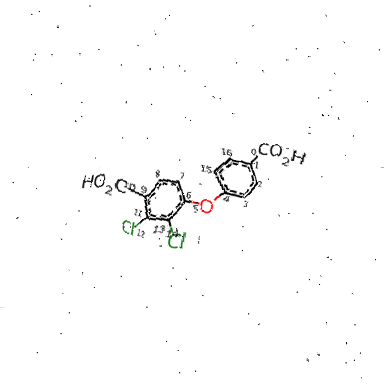 O=C(O)c1ccc(Oc2ccc(C(=O)O)c(Cl)c2Cl)cc1